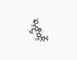 Cc1ccc(Nc2cc3ncn(-c4ccc(C#N)c(-n5nc(C(F)F)cc5C)n4)c3cc2OC2COC2)nn1